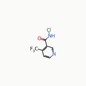 O=C(NCl)c1cnccc1C(F)(F)F